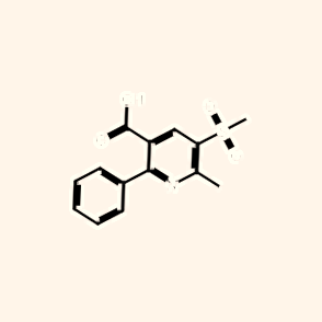 Cc1nc(-c2ccccc2)c(C(=O)O)cc1S(C)(=O)=O